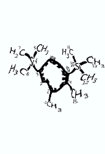 Cc1cc([Si](C)(C)C)cc([Si](C)(C)C)c1C